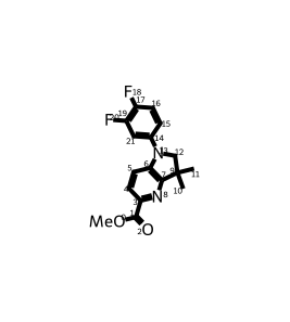 COC(=O)c1ccc2c(n1)C(C)(C)CN2c1ccc(F)c(F)c1